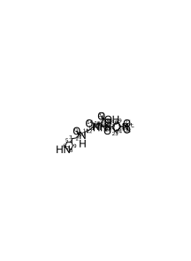 O=C(CCC1CCNCC1)NCCC(=O)NC[C@H](NS(=O)(=O)c1ccc([N+](=O)[O-])cc1)C(=O)O